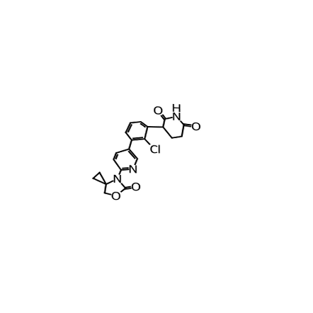 O=C1CCC(c2cccc(-c3ccc(N4C(=O)OCC45CC5)nc3)c2Cl)C(=O)N1